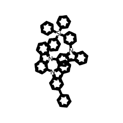 c1ccc(-c2ccc3c(c2)c2ccccc2n3-c2cccc3c4ccccc4n(-c4ccc5c6ccccc6n(-c6cccc([Si](c7ccccc7)(c7ccccc7)c7ccccc7)c6)c5c4)c23)cc1